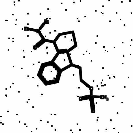 CCN(CC)C(=O)C1CCCC2=C1c1ccccc1C2CCOS(C)(=O)=O